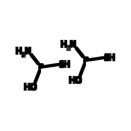 NP(O)S.NP(O)S